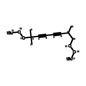 CC(C#CC#CC(C)(C)OOC(C)(C)C)COOC(C)(C)C